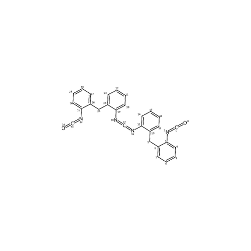 O=C=Nc1ccccc1Cc1ccccc1N=C=Nc1ccccc1Cc1ccccc1N=C=O